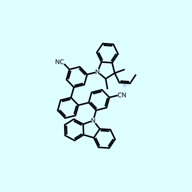 C/C=C\C1(C)c2ccccc2N(c2cc(C#N)cc(-c3ccccc3-c3ccc(C#N)cc3-n3c4ccccc4c4ccccc43)c2)C1C